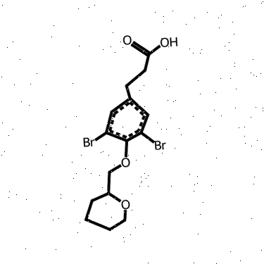 O=C(O)CCc1cc(Br)c(OCC2CCCCO2)c(Br)c1